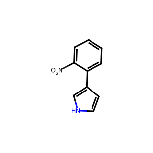 O=[N+]([O-])c1ccccc1-c1cc[nH]c1